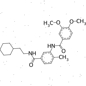 COc1ccc(C(=O)Nc2cc(C(=O)NCCC3CCCCC3)ccc2C)cc1OC